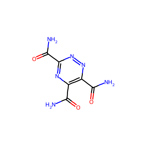 NC(=O)c1nnc(C(N)=O)c(C(N)=O)n1